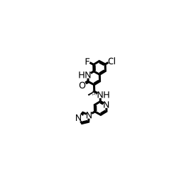 C[C@H](Nc1cc(-n2ccnc2)ccn1)c1cc2cc(Cl)cc(F)c2[nH]c1=O